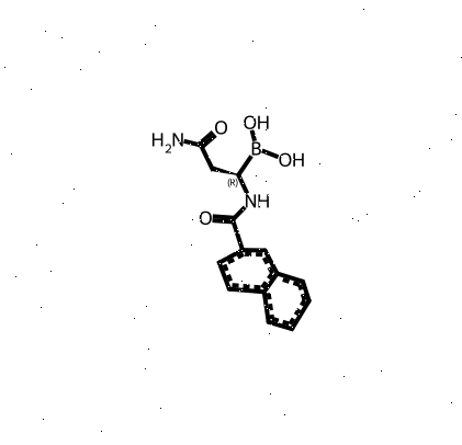 NC(=O)C[C@H](NC(=O)c1ccc2ccccc2c1)B(O)O